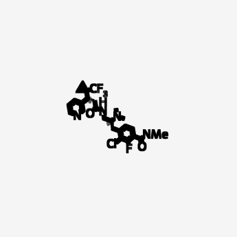 CNC(=O)c1ccc(C[C@@H](CNC(=O)C[C@H](c2cccnc2)C2(C(F)(F)F)CC2)N(C)C)c(Cl)c1F